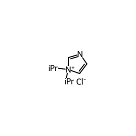 CC(C)[N+]1(C(C)C)C=CN=C1.[Cl-]